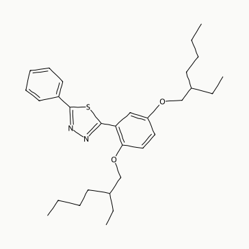 CCCCC(CC)COc1ccc(OCC(CC)CCCC)c(-c2nnc(-c3ccccc3)s2)c1